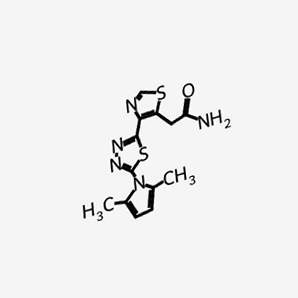 Cc1ccc(C)n1-c1nnc(-c2ncsc2CC(N)=O)s1